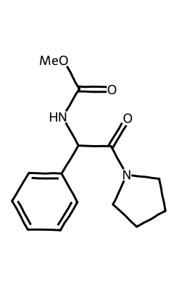 COC(=O)NC(C(=O)N1CCCC1)c1ccccc1